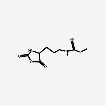 CNC(=N)NCCCC1NC(=O)OC1=O